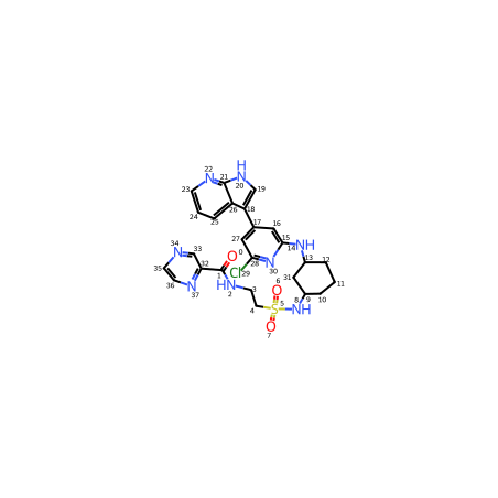 O=C(NCCS(=O)(=O)NC1CCCC(Nc2cc(-c3c[nH]c4ncccc34)cc(Cl)n2)C1)c1cnccn1